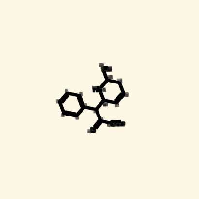 COC(=O)C(c1ccccc1)C1C=CCC(C(C)(C)C)N1